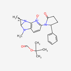 CC(C)(C)OC=O.C[C@@H]1C2N(C)c3ccc(N4C(=O)CCC4c4ccccc4)[n+]([O-])c3N21